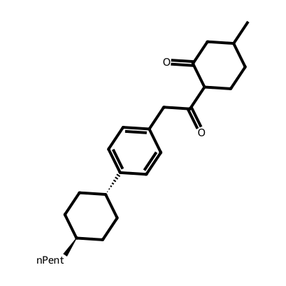 CCCCC[C@H]1CC[C@H](c2ccc(CC(=O)C3CCC(C)CC3=O)cc2)CC1